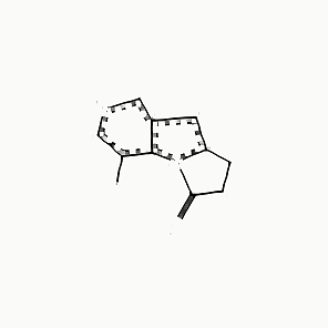 O=C1CCc2cc3cncc(Cl)c3n21